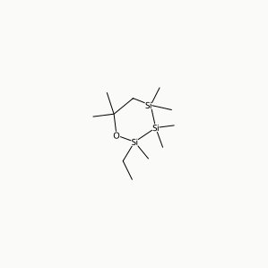 CC[Si]1(C)OC(C)(C)C[Si](C)(C)[Si]1(C)C